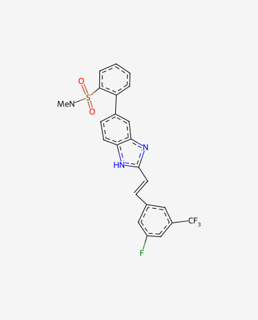 CNS(=O)(=O)c1ccccc1-c1ccc2[nH]c(C=Cc3cc(F)cc(C(F)(F)F)c3)nc2c1